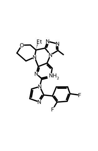 C=C(/N=C1\C(=C/N)n2c(C)nnc2[C@]2(CC)COCCN12)n1ccnc1-c1ccc(F)cc1F